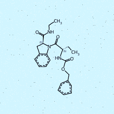 CCNC(=O)[C@@H]1Cc2ccccc2N1C(=O)[C@H](CC)NC(=O)OCc1ccccc1